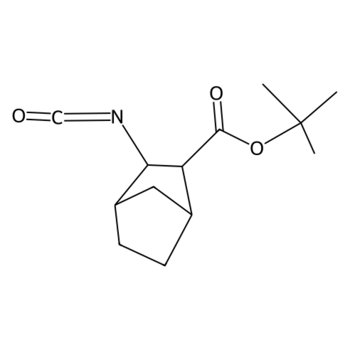 CC(C)(C)OC(=O)C1C2CCC(C2)C1N=C=O